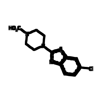 O=C(O)N1CCN(c2nc3ccc(Cl)cc3s2)CC1